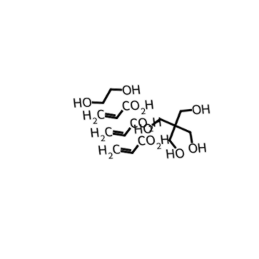 C=CC(=O)O.C=CC(=O)O.C=CC(=O)O.OCC(CO)(CO)CO.OCCO